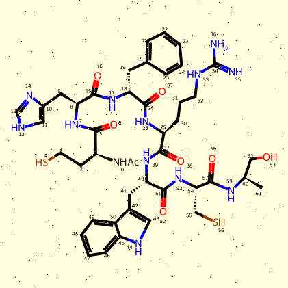 CC(=O)N[C@@H](CCS)C(=O)N[C@@H](Cc1c[nH]cn1)C(=O)N[C@H](Cc1ccccc1)C(=O)N[C@@H](CCCNC(=N)N)C(=O)N[C@@H](Cc1c[nH]c2ccccc12)C(=O)N[C@@H](CS)C(=O)N[C@H](C)CO